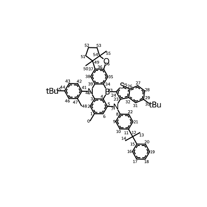 Cc1cc2c3c(c1)N(c1ccc(C(C)(C)c4ccccc4)cc1)c1c(sc4ccc(C(C)(C)C)cc14)B3c1cc3c(cc1N2c1ccc(C(C)(C)C)cc1C)C1(C)CCCC1(C)O3